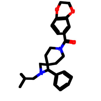 CC(C)CN1CC2(CCN(C(=O)c3ccc4c(c3)OCCO4)CC2)C1c1ccccc1